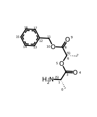 C[C@H](N)C(=O)O[C@@H](C)C(=O)OCc1ccccc1